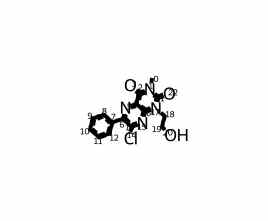 Cn1c(=O)c2nc(-c3ccccc3)c(Cl)nc2n(CCO)c1=O